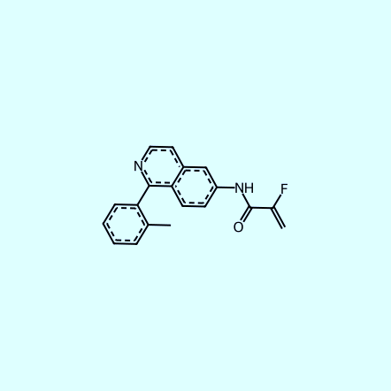 C=C(F)C(=O)Nc1ccc2c(-c3ccccc3C)nccc2c1